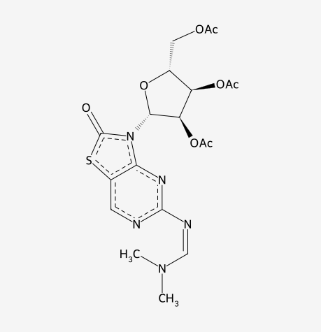 CC(=O)OC[C@H]1O[C@@H](n2c(=O)sc3cnc(/N=C\N(C)C)nc32)[C@H](OC(C)=O)[C@@H]1OC(C)=O